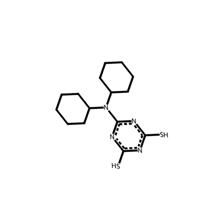 Sc1nc(S)nc(N(C2CCCCC2)C2CCCCC2)n1